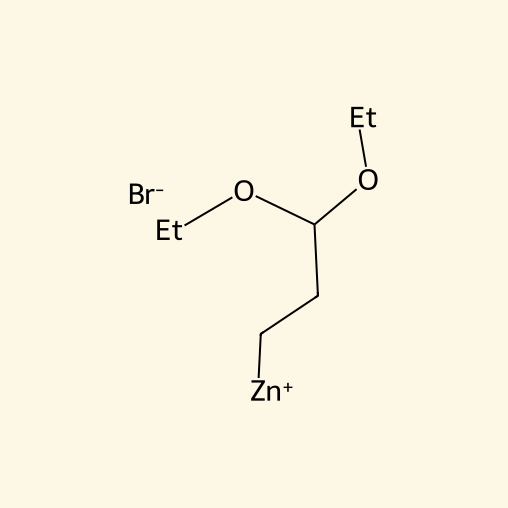 CCOC(C[CH2][Zn+])OCC.[Br-]